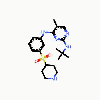 Cc1cnc(NC(C)(C)C)nc1Nc1cccc(S(=O)(=O)C2CCNCC2)c1